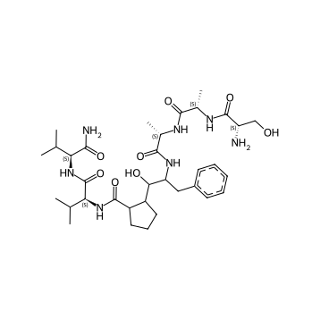 CC(C)[C@H](NC(=O)[C@@H](NC(=O)C1CCCC1C(O)C(Cc1ccccc1)NC(=O)[C@H](C)NC(=O)[C@H](C)NC(=O)[C@@H](N)CO)C(C)C)C(N)=O